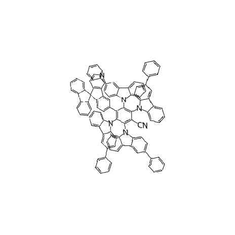 N#Cc1c(-n2c3ccccc3c3cc(-c4ccccc4)ccc32)c(-n2c3ccccc3c3cc(-c4ccccc4)ccc32)c(-c2ccc3c(c2)-c2cnccc2C32c3ccccc3-c3ccccc32)c(-n2c3ccccc3c3cc(-c4ccccc4)ccc32)c1-n1c2ccccc2c2cc(-c3ccccc3)ccc21